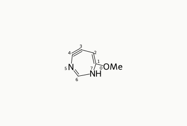 COC1=CC#CN=CN1